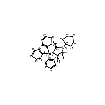 CC1(C)C(=O)N([Si](c2ccccc2)(c2ccccc2)c2ccccc2)C(=O)N1C1CCCCC1